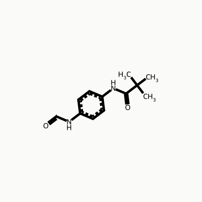 CC(C)(C)C(=O)Nc1ccc(N[C]=O)cc1